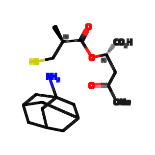 COC(=O)C[C@H](OC(=O)[C@H](C)CS)C(=O)O.NC12CC3CC(CC(C3)C1)C2